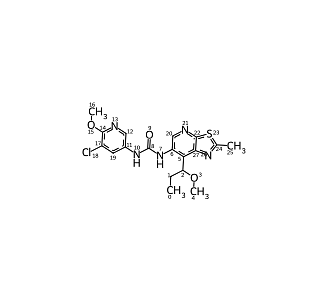 CCC(OC)c1c(NC(=O)Nc2cnc(OC)c(Cl)c2)cnc2sc(C)nc12